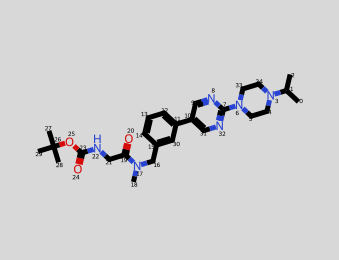 CC(C)N1CCN(c2ncc(-c3cccc(CN(C)C(=O)CNC(=O)OC(C)(C)C)c3)cn2)CC1